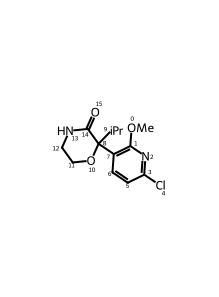 COc1nc(Cl)ccc1C1(C(C)C)OCCNC1=O